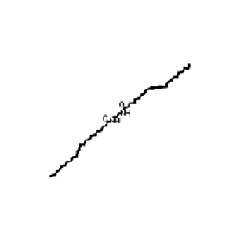 CCCCCCCCCCC#CC#CCCCCCCCCC(=O)NCCCNC(=O)CCCCCCCCCCC#CCCCCCCCCCC